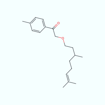 CC(C)=CCCC(C)CCOCC(=O)c1ccc(C)cc1